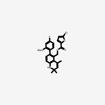 CCc1ccc(C(=O)OCc2c(-c3ccc(F)cc3OC)ccc3c2C(C)=CC(C)(C)N3)s1